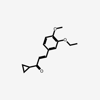 CCOc1cc(C=CC(=O)C2CC2)ccc1OC